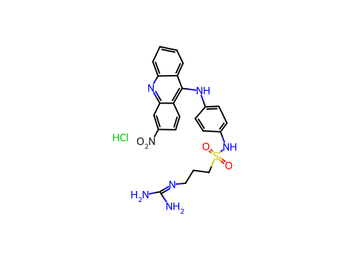 Cl.NC(N)=NCCCS(=O)(=O)Nc1ccc(Nc2c3ccccc3nc3cc([N+](=O)[O-])ccc23)cc1